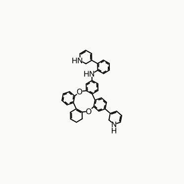 C1=CNCC(c2ccc3c(c2)OC2=C(C=CCC2)c2ccccc2Oc2cc(Nc4ccccc4C4=CC=CNC4)ccc2-3)=C1